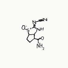 N#CN=C1NC2C(C(N)=O)CCC2[S+]1[O-]